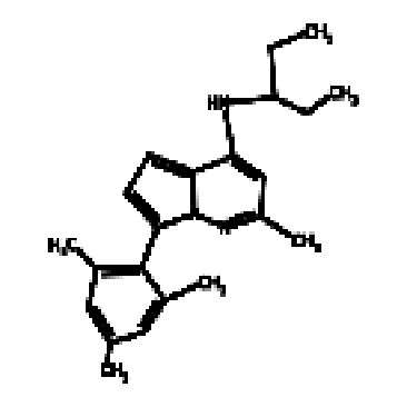 CCC(CC)Nc1cc(C)nn2c(-c3c(C)cc(C)cc3C)ccc12